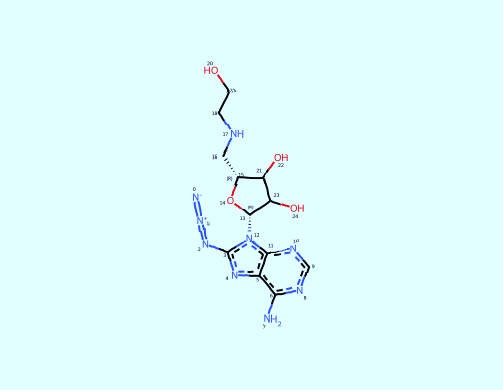 [N-]=[N+]=Nc1nc2c(N)ncnc2n1[C@@H]1O[C@H](CNCCO)C(O)C1O